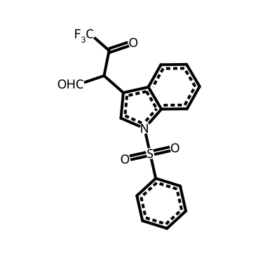 O=CC(C(=O)C(F)(F)F)c1cn(S(=O)(=O)c2ccccc2)c2ccccc12